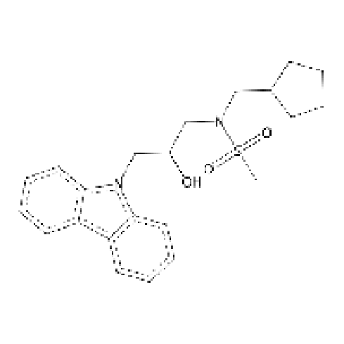 CS(=O)(=O)N(CC(O)Cn1c2ccccc2c2ccccc21)CC1CCCC1